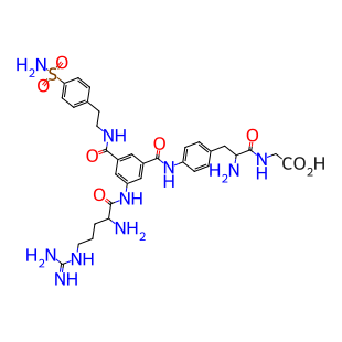 N=C(N)NCCCC(N)C(=O)Nc1cc(C(=O)NCCc2ccc(S(N)(=O)=O)cc2)cc(C(=O)Nc2ccc(CC(N)C(=O)NCC(=O)O)cc2)c1